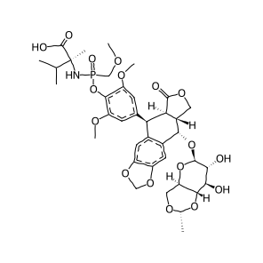 COCP(=O)(N[C@](C)(C(=O)O)C(C)C)Oc1c(OC)cc([C@@H]2c3cc4c(cc3[C@@H](O[C@@H]3O[C@@H]5CO[C@@H](C)O[C@H]5[C@H](O)[C@H]3O)[C@H]3COC(=O)[C@H]23)OCO4)cc1OC